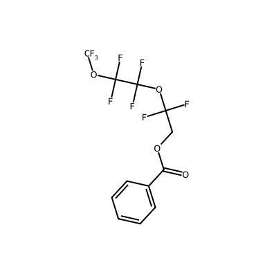 O=C(OCC(F)(F)OC(F)(F)C(F)(F)OC(F)(F)F)c1ccccc1